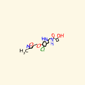 Cc1cc(COc2cc3[nH]c(CNC(=O)[C@@H]4CC[C@H]4O)cc3cc2Cl)on1